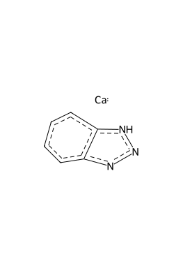 [Ca].c1ccc2[nH]nnc2c1